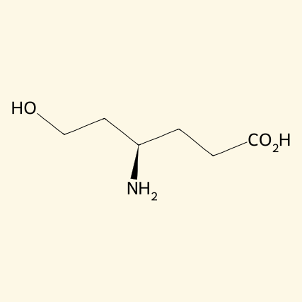 N[C@@H](CCO)CCC(=O)O